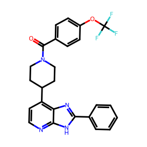 O=C(c1ccc(OC(F)(F)F)cc1)N1CCC(c2ccnc3[nH]c(-c4ccccc4)nc23)CC1